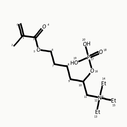 C=C(C)C(=O)OCCCCC(C[N+](CC)(CC)CC)OP(=O)(O)O